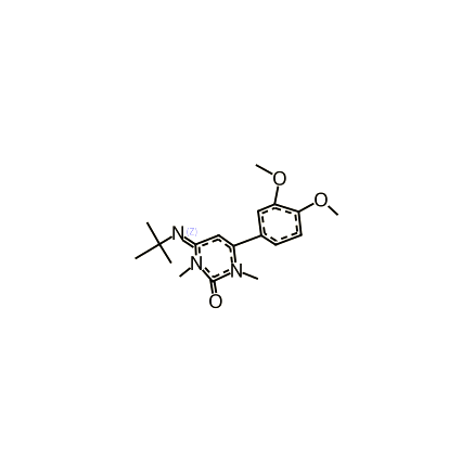 COc1ccc(-c2c/c(=N/C(C)(C)C)n(C)c(=O)n2C)cc1OC